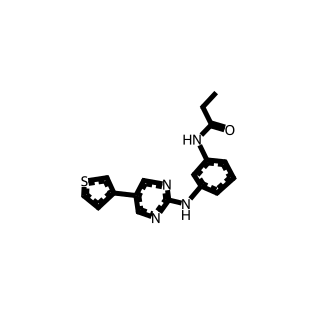 CCC(=O)Nc1cccc(Nc2ncc(-c3ccsc3)cn2)c1